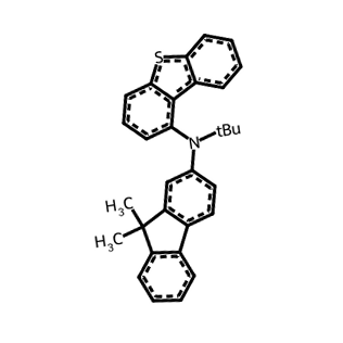 CC1(C)c2ccccc2-c2ccc(N(c3cccc4sc5ccccc5c34)C(C)(C)C)cc21